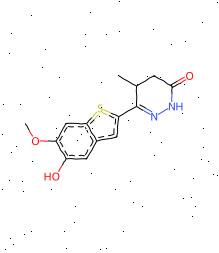 COc1cc2sc(C3=NNC(=O)CC3C)cc2cc1O